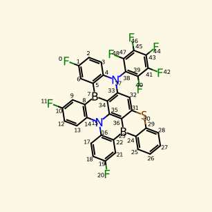 Fc1ccc2c(c1)B1c3cc(F)ccc3N3c4ccc(F)cc4B4c5ccccc5Sc5cc(c1c3c54)N2c1c(F)c(F)c(F)c(F)c1F